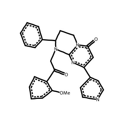 COc1ccccc1C(=O)CN1c2nc(-c3ccncc3)cc(=O)n2CCC1c1ccccc1